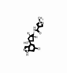 Cn1cc(C(=O)N[C@@H]2[C@@H]3C[C@@](O)(c4cc(Cl)cc5[nH]ncc45)C[C@@H]32)cn1